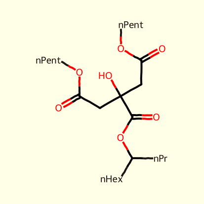 CCCCCCC(CCC)OC(=O)C(O)(CC(=O)OCCCCC)CC(=O)OCCCCC